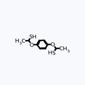 CC(S)Oc1ccc(OC(C)S)cc1